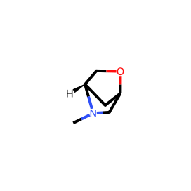 CN1CC2C[C@H]1CO2